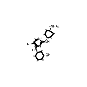 CC(=O)N[C@H]1CC[C@H](Nc2ncc(C#N)c(N[C@@H]3CCC[C@@H](O)C3)n2)CC1